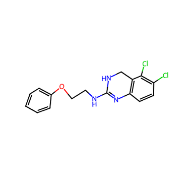 Clc1ccc2c(c1Cl)CNC(NCCOc1ccccc1)=N2